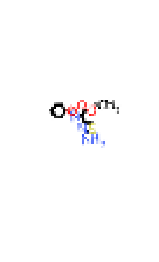 CCOC(=O)/C(=N\OC1CCCCC1)c1csc(N)n1